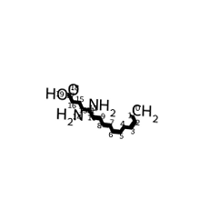 C=C/C=C\C\C=C/C=C/C=C/C(N)C(N)CCC(=O)O